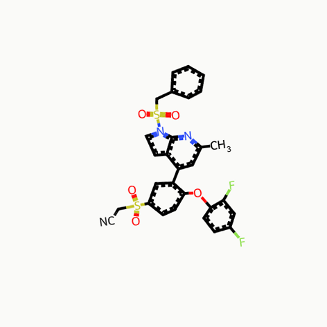 Cc1cc(-c2cc(S(=O)(=O)CC#N)ccc2Oc2ccc(F)cc2F)c2ccn(S(=O)(=O)Cc3ccccc3)c2n1